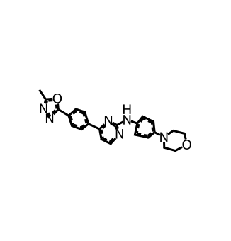 Cc1nnc(-c2ccc(-c3ccnc(Nc4ccc(N5CCOCC5)cc4)n3)cc2)o1